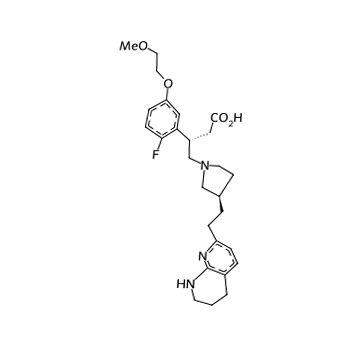 COCCOc1ccc(F)c([C@H](CC(=O)O)CN2CC[C@@H](CCc3ccc4c(n3)NCCC4)C2)c1